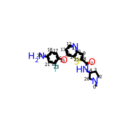 CN1CCC(NC(=O)c2cc3nccc(Oc4ccc(N)cc4F)c3s2)C1